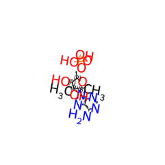 C[C@@]1(n2cnc3c(N)ncnc32)O[C@H](COP(=O)(O)O)[C@@H](O)[C@@]1(C)O